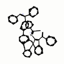 C=C(C1=C(/N=C(\C)c2ccccc2)C2(c3ccccc31)c1ccccc1-c1ccc(-c3ccc(/C(=C\c4ccccc4)c4ccccc4)cc3)cc12)c1ccccc1